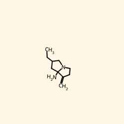 C=C1CCN2CC(CC)CC12N